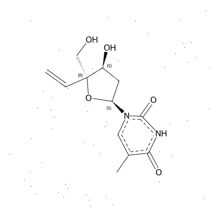 C=C[C@]1(CO)O[C@H](n2cc(C)c(=O)[nH]c2=O)C[C@@H]1O